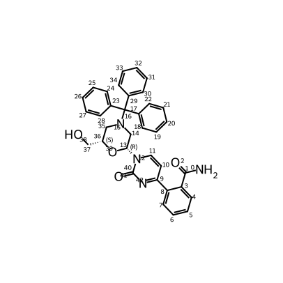 NC(=O)c1ccccc1-c1ccn([C@H]2CN(C(c3ccccc3)(c3ccccc3)c3ccccc3)C[C@@H](CO)O2)c(=O)n1